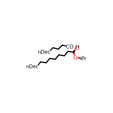 CCCCCCCCCCCCCC(=O)O.CCCCCCCCCCCCCCCCCC(=O)OC(C)C